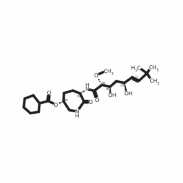 CO[C@@H](C(=O)N[C@H]1CC[C@@H](OC(=O)C2CCCCC2)CNC1=O)[C@H](O)C[C@H](O)/C=C/C(C)(C)C